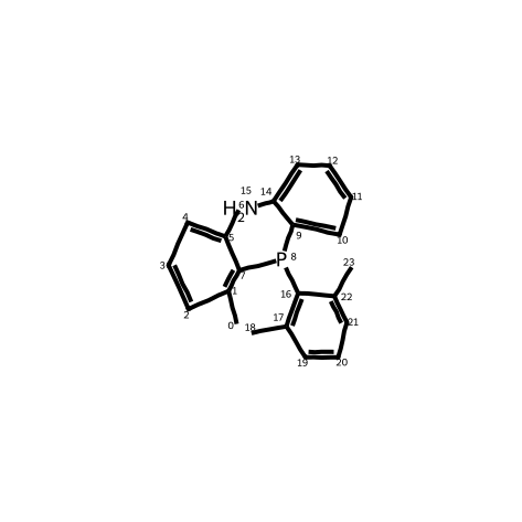 Cc1cccc(C)c1P(c1ccccc1N)c1c(C)cccc1C